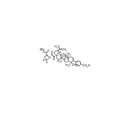 C=C(C)[C@@H]1CC[C@]2(NC(=O)[C@@H]3CC(F)(F)CN3C(=O)OC(C)(C)C)CC[C@]3(C)[C@H](CCC4[C@@]5(C)CC=C(c6ccc(C(=O)O)cc6)C(C)(C)C5CC[C@]43C)C12